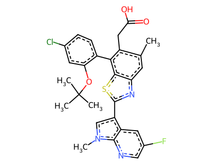 Cc1cc2nc(-c3cn(C)c4ncc(F)cc34)sc2c(-c2ccc(Cl)cc2OC(C)(C)C)c1CC(=O)O